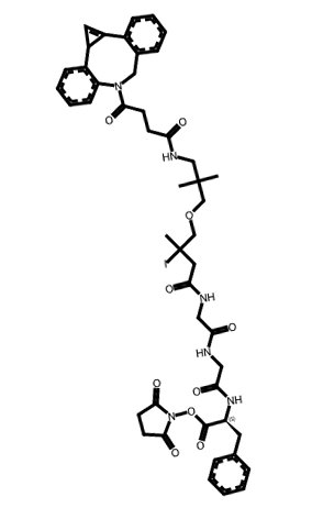 CC(C)(CNC(=O)CCC(=O)N1Cc2ccccc2C2=CC2c2ccccc21)COCC(C)(I)CC(=O)NCC(=O)NCC(=O)N[C@@H](Cc1ccccc1)C(=O)ON1C(=O)CCC1=O